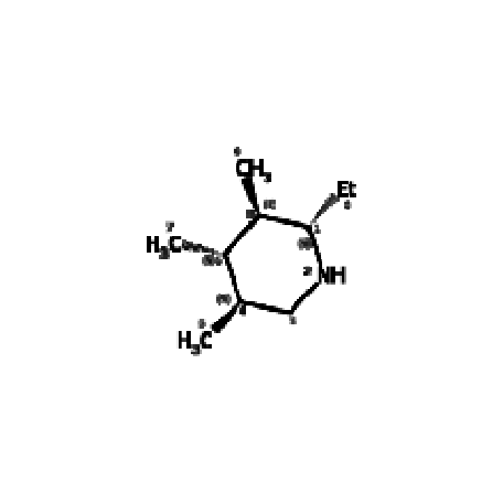 CC[C@@H]1NC[C@@H](C)[C@H](C)[C@H]1C